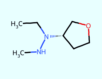 CCN(NC)[C@H]1CCOC1